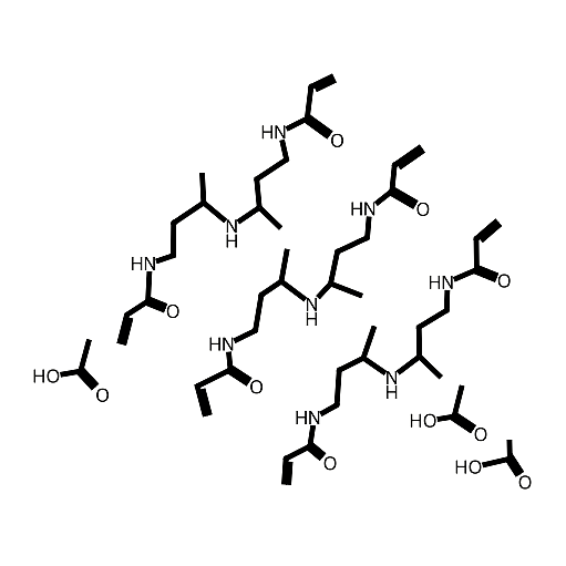 C=CC(=O)NCCC(C)NC(C)CCNC(=O)C=C.C=CC(=O)NCCC(C)NC(C)CCNC(=O)C=C.C=CC(=O)NCCC(C)NC(C)CCNC(=O)C=C.CC(=O)O.CC(=O)O.CC(=O)O